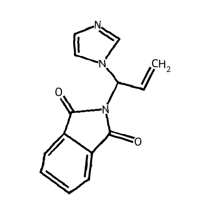 C=CC(N1C(=O)c2ccccc2C1=O)n1ccnc1